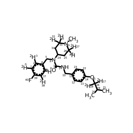 [2H]c1c([2H])c(CN(C(=O)NCc2ccc(OC([2H])([2H])C(C)C)cc2)C2CC([2H])([2H])N(C)C([2H])([2H])C2)c([2H])c([2H])c1F